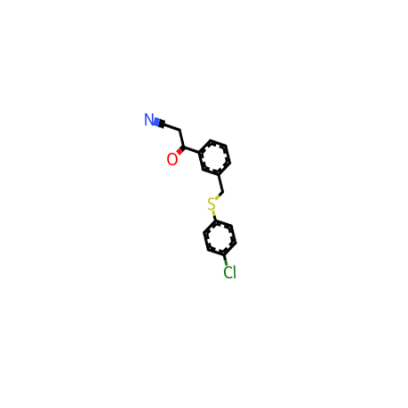 N#CCC(=O)c1cccc(CSc2ccc(Cl)cc2)c1